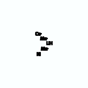 [Co].[LiH].[Mn].[Mn].[Ni]